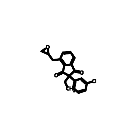 CCC1(c2cccc(Cl)c2)C(=O)c2cccc(CC3CO3)c2C1=O